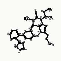 CCCc1nc2c(c(=O)n(C)c(=O)n2C(C)OC)n1Cc1ccc(-c2ccccc2-c2nnn[nH]2)cc1